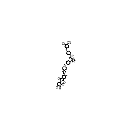 N#Cc1ccc(O[C@H]2CC[C@H](NC(=O)c3ncnn3[C@H]3CC[C@H](CN4CCC5(CC4)CN(c4cc6c(cc4F)C(=O)N(C4CCC(=O)NC4=O)C6=O)C5)CC3)CC2)cc1Cl